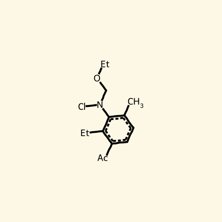 CCOCN(Cl)c1c(C)ccc(C(C)=O)c1CC